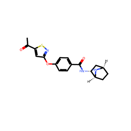 CC(=O)c1cc(Oc2ccc(C(=O)N[C@@H]3C[C@H]4CC[C@@H]3N4)cc2)ns1